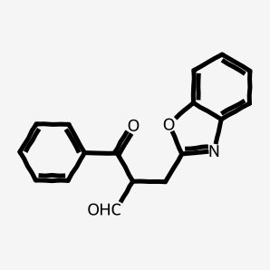 O=CC(Cc1nc2ccccc2o1)C(=O)c1ccccc1